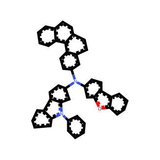 c1ccc(-n2c3ccccc3c3ccc(N(c4ccc5c(ccc6ccc7ccccc7c65)c4)c4ccc5c(c4)oc4ccccc45)cc32)cc1